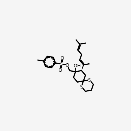 CC(C)=CC/C=C(\C)[C@H]1CC2(CC[C@]1(O)COS(=O)(=O)c1ccc(C)cc1)SCCCS2